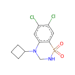 O=S1(=O)NCN(C2CCC2)c2cc(Cl)c(Cl)cc21